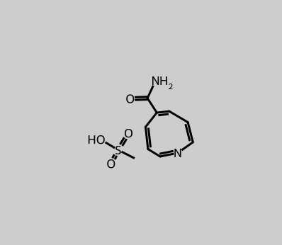 CS(=O)(=O)O.NC(=O)C1=CC=CN=CC=C1